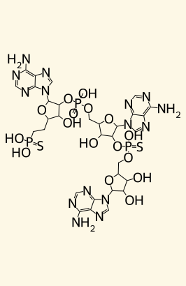 Nc1ncnc2c1ncn2C1OC(COP(O)(=S)OC2C(O)C(COP(=O)(O)OC3C(O)C(CCP(O)(O)=S)OC3n3cnc4c(N)ncnc43)OC2n2cnc3c(N)ncnc32)C(O)C1O